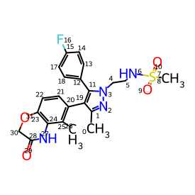 Cc1nn(CCNS(C)(=O)=O)c(-c2ccc(F)cc2)c1-c1ccc2c(c1C)NC(=O)CO2